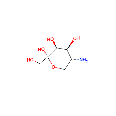 N[C@@H]1CO[C@@](O)(CO)[C@@H](O)[C@H]1O